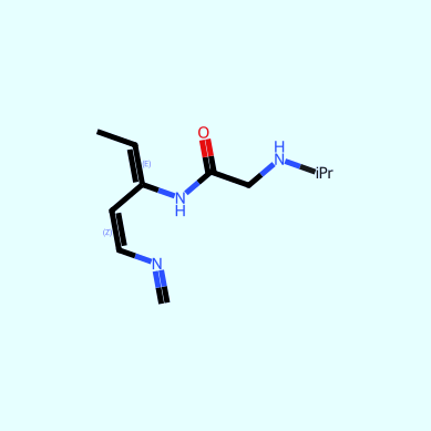 C=N/C=C\C(=C/C)NC(=O)CNC(C)C